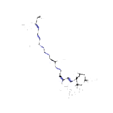 CC(=C/C=C/C(C)=C/C=C/C=C(C)/C=C/C=C(\C)C=O)/C=C/C12OC1(C)CC(O)CC2(C)C